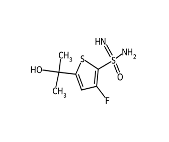 CC(C)(O)c1cc(F)c(S(=N)(N)=O)s1